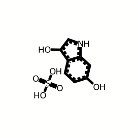 O=S(=O)(O)O.Oc1ccc2c(O)c[nH]c2c1